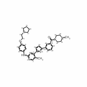 Cc1cnc(Nc2ccc(OCCN3CCCC3)cc2)nc1-c1ccc(-c2cccc(C(=O)N3CCN(C)CC3)c2)s1